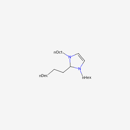 CCCCCCCCCCCCC1N(CCCCCC)C=CN1CCCCCCCC